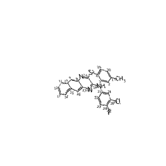 Cc1ccc(Sc2nc3cc4ccccc4cc3nc2Nc2ccc(F)c(Cl)c2)cc1